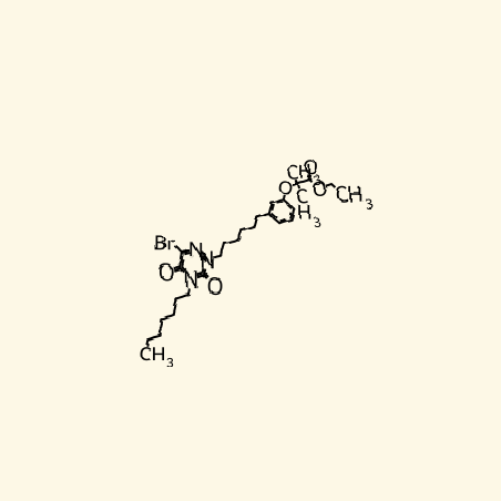 CCCCCCCn1c(=O)c(Br)nn(CCCCCCc2cccc(OC(C)(C)C(=O)OCC)c2)c1=O